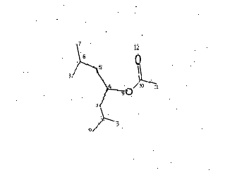 C[C](C)CC(C[C](C)C)OC(C)=O